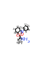 CC(C)C[C@H](N)C(=O)ON(C1CCCCC1)C1CCCCC1